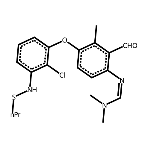 CCCSNc1cccc(Oc2ccc(/N=C\N(C)C)c(C=O)c2C)c1Cl